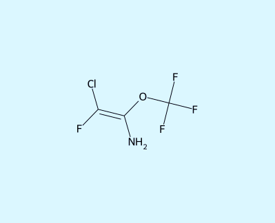 N/C(OC(F)(F)F)=C(\F)Cl